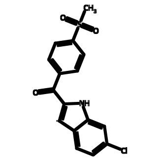 CS(=O)(=O)c1ccc(C(=O)c2[c]c3ccc(Cl)cc3[nH]2)cc1